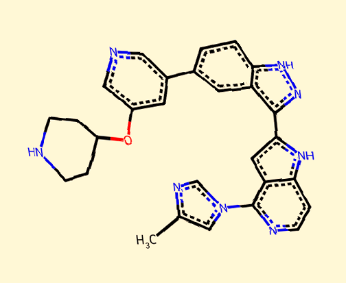 Cc1cn(-c2nccc3[nH]c(-c4n[nH]c5ccc(-c6cncc(OC7CCNCC7)c6)cc45)cc23)cn1